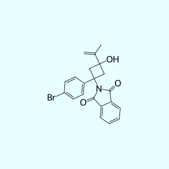 C=C(C)C1(O)CC(c2ccc(Br)cc2)(N2C(=O)c3ccccc3C2=O)C1